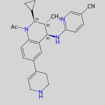 CC(=O)N1c2ccc(C3=CCNCC3)cc2[C@H](Nc2ccc(C#N)cn2)[C@@H](C)[C@@H]1C1CC1